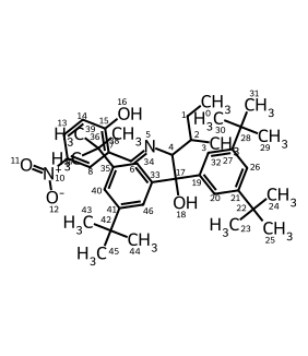 CCC(C)C(N=Cc1cc([N+](=O)[O-])ccc1O)C(O)(c1cc(C(C)(C)C)cc(C(C)(C)C)c1)c1cc(C(C)(C)C)cc(C(C)(C)C)c1